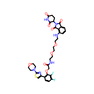 O=C(COc1c(-c2csc(N3CCOCC3)n2)ccc(F)c1F)NCCOCCOCCNc1cccc2c1C(=O)N(C1CCC(=O)NC1=O)C2=O